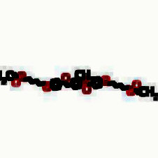 C=CC(=O)OCCCCCCOc1ccc(C(=O)Cc2ccc(OC(=O)c3ccc(OCCCCCCOC(=O)C=C)cc3)c(C)c2)cc1